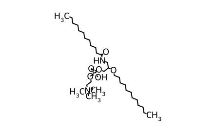 CCCCCCCCCCCCOC(CNC(=O)CCCCCCCCCCC)COP(=O)(O)OCC[N+](C)(C)C